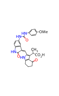 COc1ccc(NC(=O)Nc2ccc3c(c2)/C(=C/c2[nH]c4c(c2C(C)C(=O)O)C(=O)CCC4)C(=O)N3)cc1